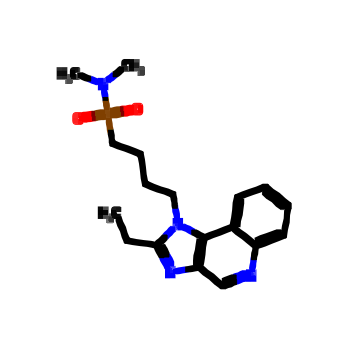 CCc1nc2cnc3ccccc3c2n1CCCCS(=O)(=O)N(C)C